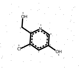 OCc1ncc(O)cc1Cl